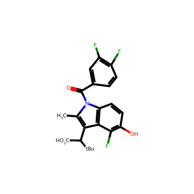 Cc1c(C(C(=O)O)C(C)(C)C)c2c(F)c(O)ccc2n1C(=O)c1ccc(F)c(F)c1